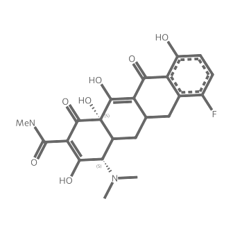 CNC(=O)C1=C(O)[C@@H](N(C)C)C2CC3Cc4c(F)ccc(O)c4C(=O)C3=C(O)[C@]2(O)C1=O